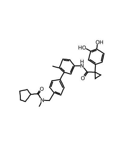 Cc1ccc(NC(=O)C2(c3ccc(O)c(O)c3)CC2)cc1-c1ccc(CN(C)C(=O)C2CCCC2)cc1